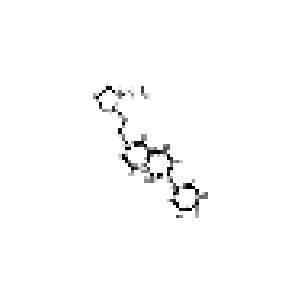 C[C@@H]1CCCN1CCc1ccc2nc(-c3ccncc3)ccc2c1